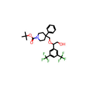 CC(C)(C)OC(=O)N1CCC(COC(CO)c2cc(C(F)(F)F)cc(C(F)(F)F)c2)(c2ccccc2)CC1